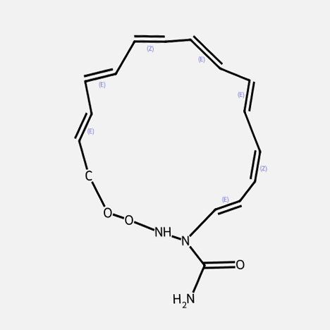 NC(=O)N1/C=C/C=C\C=C\C=C\C=C/C=C/C=C/COON1